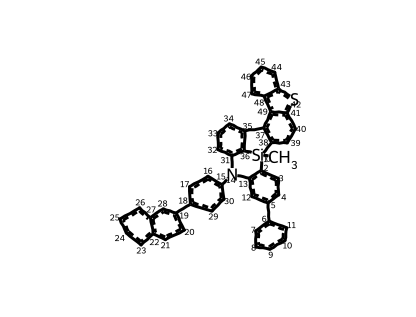 C[Si]12c3ccc(-c4ccccc4)cc3N(c3ccc(-c4ccc5ccccc5c4)cc3)c3cccc(c31)-c1c2ccc2sc3ccccc3c12